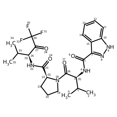 CC(C)[C@H](NC(=O)c1n[nH]c2ccccc12)C(=O)N1CCC[C@H]1C(=O)N[C@H](C(=O)C(F)(F)F)C(C)C